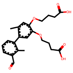 Cc1cc(OCCCC(=O)O)c(OCCCC(=O)O)cc1-c1cccc(C=O)c1C